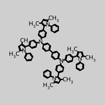 Cc1cc(C)n(-c2ccccc2)c1-c1ccc(N(c2ccc(-c3ccc(N(c4ccc(-c5c(C)cc(C)n5-c5ccccc5)cc4)c4ccc(-c5c(C)cc(C)n5-c5ccccc5)cc4)cc3)cc2)c2ccc(-c3c(C)cc(C)n3-c3ccccc3)cc2)cc1